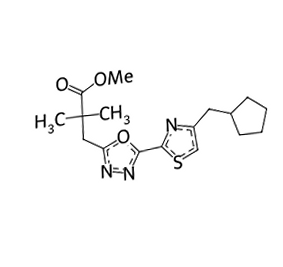 COC(=O)C(C)(C)Cc1nnc(-c2nc(CC3CCCC3)cs2)o1